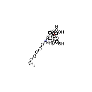 NCCOCCOCCOCCOCCOCC/C(N)=C/N(N)CCOC1c2c(O)cc(O)cc2OC(c2cc(O)c(O)c(O)c2)C1OC(=O)c1ccccc1